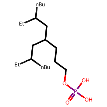 CCCCC(CC)CC(CCCOP(=O)(O)O)CC(CC)CCCC